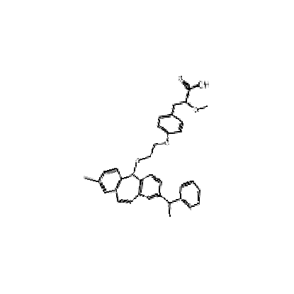 COC(Cc1ccc(OCCOC2c3ccc(C)cc3C=Cc3cc(C(C)c4ccccc4)ccc32)cc1)C(=O)O